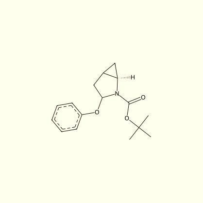 CC(C)(C)OC(=O)N1C(Oc2ccccc2)CC2C[C@H]21